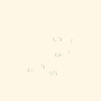 CC(C)c1ccn2ncc(C(=O)Nc3cn(C4CCCCC4)nc3C(F)F)c2n1